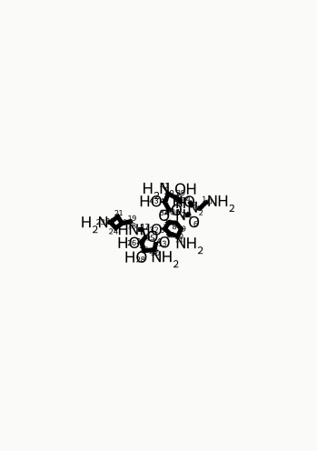 NCCN(O)C(=O)N[C@@H]1C[C@H](N)C(O[C@H]2O[C@H](CNCC3CC(N)C3)[C@@H](O)[C@H](O)[C@H]2N)[C@H](O)[C@H]1O[C@H]1OC[C@@H](O)[C@H](N)[C@H]1O